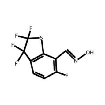 O/N=C/c1c(F)ccc2c1SC(F)(F)C2(F)F